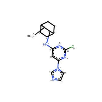 O=C(O)C1C2CCC(CC2)C1Nc1cc(-n2ccnc2)nc(Cl)n1